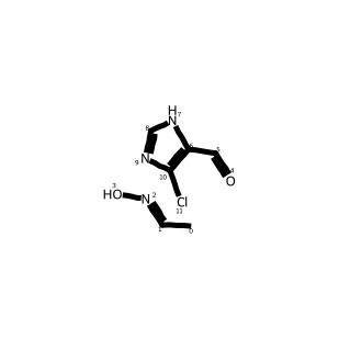 C/C=N/O.O=Cc1[nH]cnc1Cl